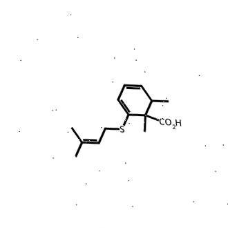 CC(C)=CCSC1=CC=CC(C)C1(C)C(=O)O